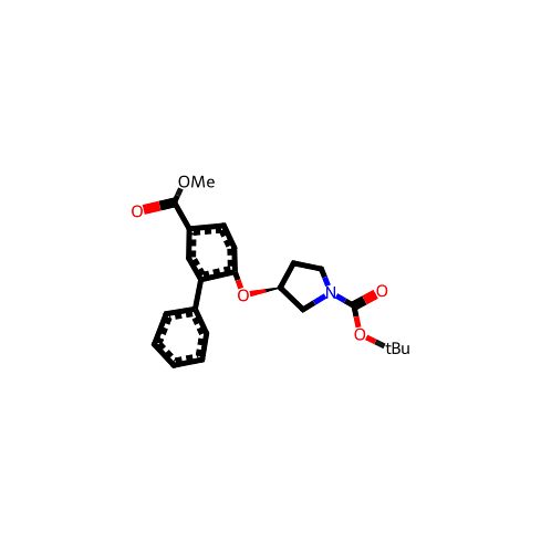 COC(=O)c1ccc(O[C@H]2CCN(C(=O)OC(C)(C)C)C2)c(-c2ccccc2)c1